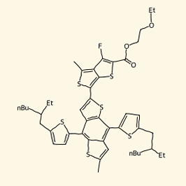 CCCCC(CC)Cc1ccc(-c2c3cc(-c4sc(C)c5c(F)c(C(=O)OCCOCC)sc45)sc3c(-c3ccc(CC(CC)CCCC)s3)c3cc(C)sc23)s1